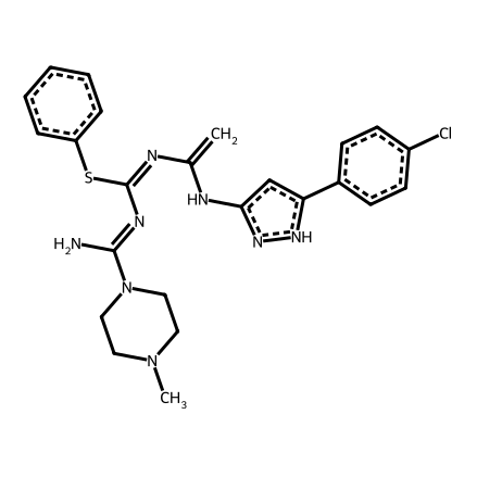 C=C(/N=C(\N=C(/N)N1CCN(C)CC1)Sc1ccccc1)Nc1cc(-c2ccc(Cl)cc2)[nH]n1